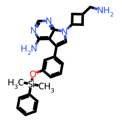 C[Si](C)(Oc1cccc(-c2cn(C3CC(CN)C3)c3ncnc(N)c23)c1)c1ccccc1